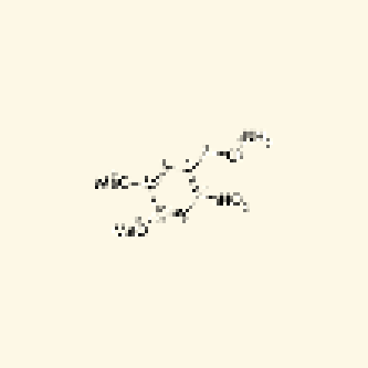 COc1cc(CON)c([N+](=O)[O-])cc1OC